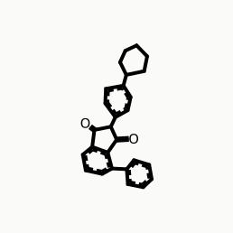 O=C1c2cccc(-c3ccccc3)c2C(=O)C1c1ccc(C2CCCCC2)cc1